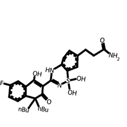 CCCCC1(CCCC)C(=O)C(C2=NS(O)(O)c3cc(CCC(N)=O)ccc3N2)=C(O)c2cc(F)ccc21